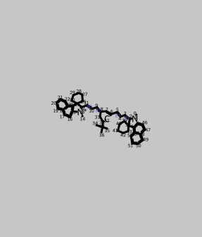 CN1/C(=C/C=C/C2=CC(=C/C=C/C3=[N+](C)c4ccc5ccccc5c4C34CCCCC4)/CC(C(C)(C)C)C2)C2(CCCCC2)c2c1ccc1ccccc21